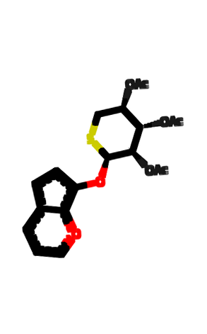 CC(=O)O[C@@H]1[C@@H](OC(C)=O)[C@@H](Oc2ccc3cccoc2-3)SC[C@H]1OC(C)=O